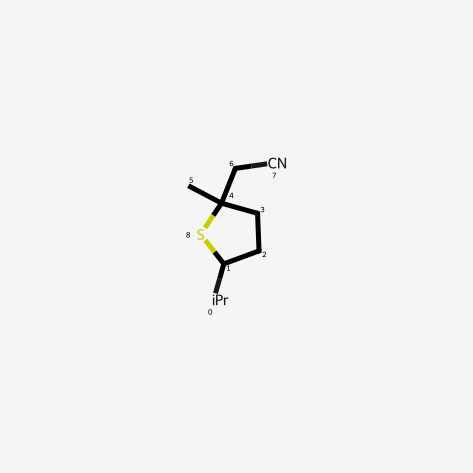 CC(C)C1CCC(C)(CC#N)S1